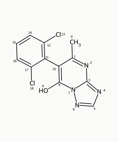 Cc1nc2ncnn2c(O)c1-c1c(Cl)cccc1Cl